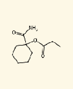 CCC(=O)OC1(C(N)=O)CCCCC1